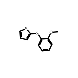 COc1ccccc1Sc1cccs1